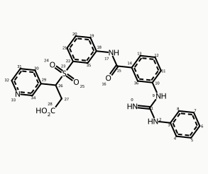 N=C(Nc1ccccc1)Nc1cccc(C(=O)Nc2cccc(S(=O)(=O)C(CC(=O)O)c3cccnc3)c2)c1